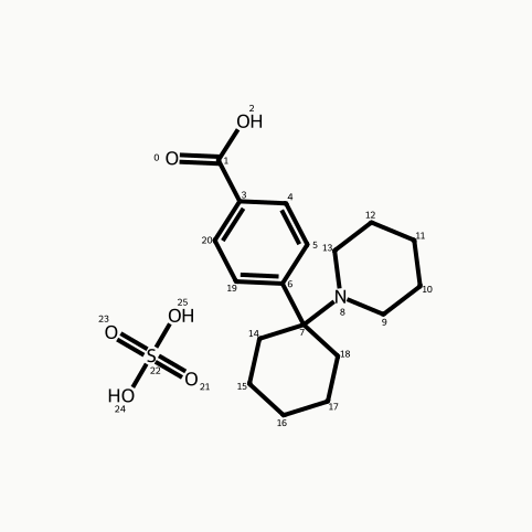 O=C(O)c1ccc(C2(N3CCCCC3)CCCCC2)cc1.O=S(=O)(O)O